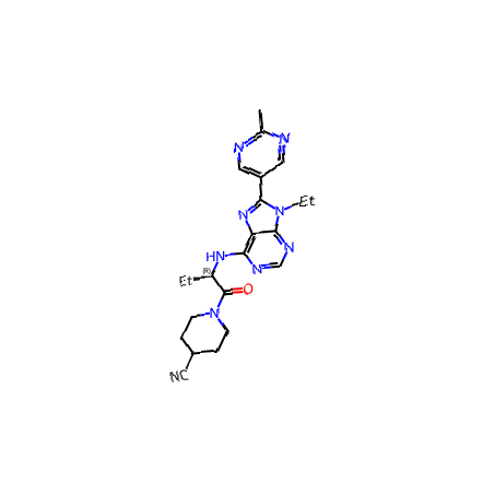 CC[C@@H](Nc1ncnc2c1nc(-c1cnc(C)nc1)n2CC)C(=O)N1CCC(C#N)CC1